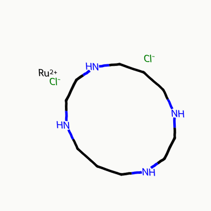 C1CNCCNCCCNCCNC1.[Cl-].[Cl-].[Ru+2]